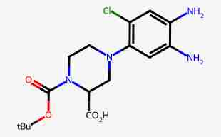 CC(C)(C)OC(=O)N1CCN(c2cc(N)c(N)cc2Cl)CC1C(=O)O